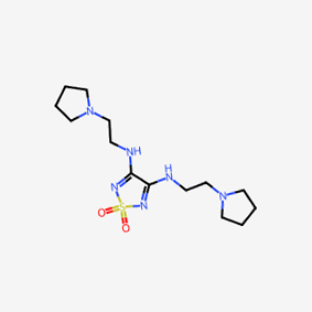 O=S1(=O)N=C(NCCN2CCCC2)C(NCCN2CCCC2)=N1